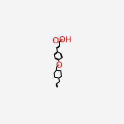 C=CCC1CCC(COc2ccc(C=CC(=O)O)cc2)CC1